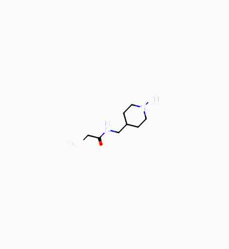 CC(C)COCC(=O)NCC1CCN(C)CC1